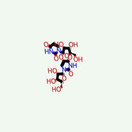 O=c1ccn([C@]2(Oc3cn([C@@H]4O[C@H](CO)[C@@H](O)[C@H]4O)c(=O)[nH]c3=O)O[C@H](CO)[C@@H](O)[C@H]2O)c(=O)[nH]1